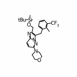 Cc1c(Cc2c(CO[Si](C)(C)C(C)(C)C)nc3ccc(N4CCOCC4)nn23)cccc1C(F)(F)F